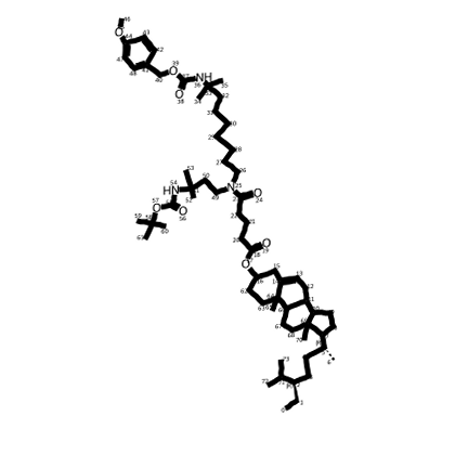 CC[C@H](CC[C@@H](C)C1CCC2C3CC=C4CC(OC(=O)CCCC(=O)N(CCCCCCCC(C)(C)NC(=O)OCc5ccc(OC)cc5)CCC(C)(C)NC(=O)OC(C)(C)C)CCC4(C)C3CCC21C)C(C)C